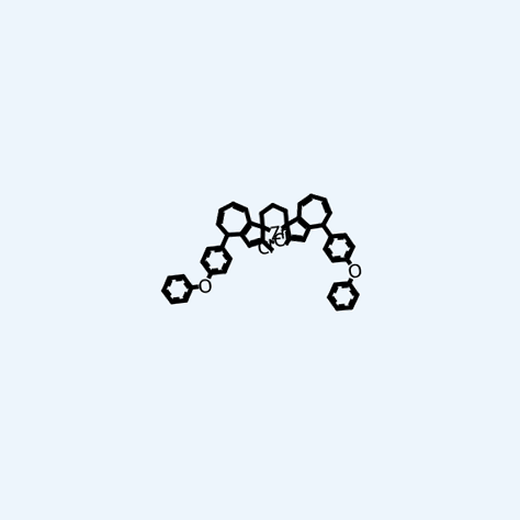 CC1=CC2=C(C=CC=CC2c2ccc(Oc3ccccc3)cc2)[C]12CCC[C]1(C(C)=CC3=C1C=CC=CC3c1ccc(Oc3ccccc3)cc1)[Zr]2([Cl])[Cl]